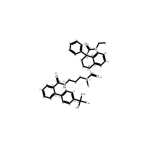 CCOC(=O)[C@]1(c2ccccc2)CC[C@@H](C(=O)N(C)CCCNC(=O)c2ccccc2-c2ccc(C(F)(F)F)cc2)c2ccccc21